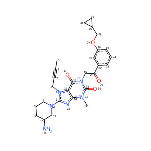 CC#CCn1c(N2CCCC(N)C2)nc2c1c(=O)n(CC(=O)c1cccc(OCC3CC3)c1)c(=O)n2C